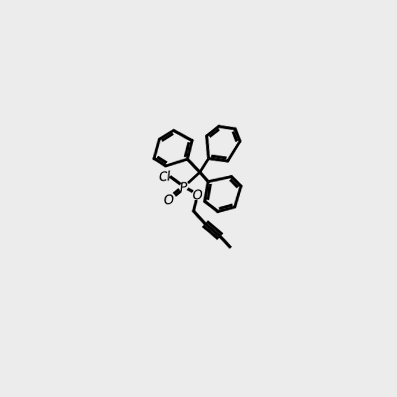 CC#CCOP(=O)(Cl)C(c1ccccc1)(c1ccccc1)c1ccccc1